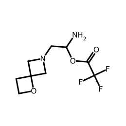 NC(CN1CC2(CCO2)C1)OC(=O)C(F)(F)F